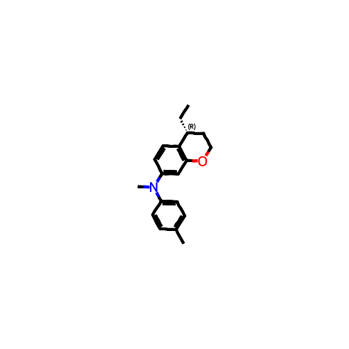 CC[C@@H]1CCOc2cc(N(C)c3ccc(C)cc3)ccc21